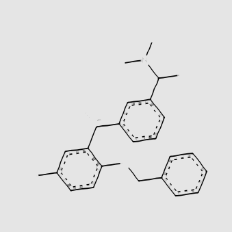 CC[C@H](c1cccc(C(C)N(C(C)C)C(C)C)c1)c1cc(O)ccc1OCc1ccccc1